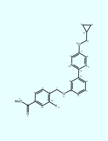 COC(=O)c1ccc(COc2cccc(-c3ncc(OCC4CC4)cn3)c2)c(F)c1